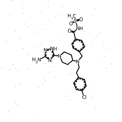 CS(=O)(=O)NC(=O)c1ccc(CN(CCc2ccc(Cl)cc2)C2CCN(c3nc(N)n[nH]3)CC2)cc1